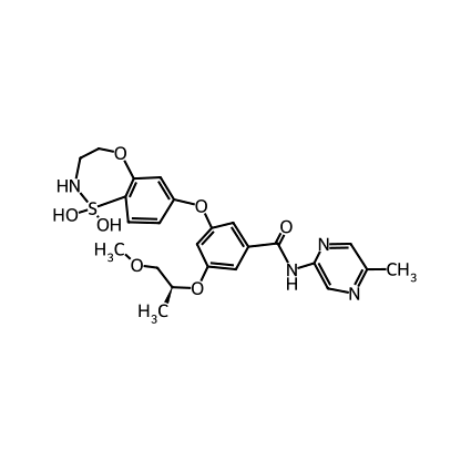 COC[C@H](C)Oc1cc(Oc2ccc3c(c2)OCCNS3(O)O)cc(C(=O)Nc2cnc(C)cn2)c1